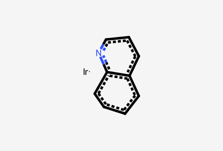 [Ir].c1ccc2ncccc2c1